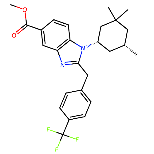 COC(=O)c1ccc2c(c1)nc(Cc1ccc(C(F)(F)F)cc1)n2[C@H]1C[C@@H](C)CC(C)(C)C1